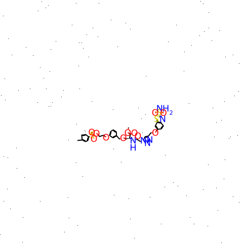 COC(=O)[C@H](COCc1cccc(OCCOS(=O)(=O)c2ccc(C)cc2)c1)NC(=O)Cn1cc(COc2ccc3nc(S(N)(=O)=O)sc3c2)nn1